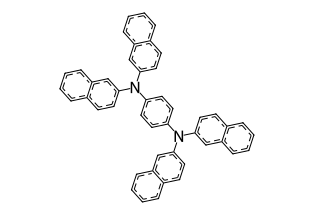 c1ccc2cc(N(c3ccc(N(c4ccc5ccccc5c4)c4ccc5ccccc5c4)cc3)c3ccc4ccccc4c3)ccc2c1